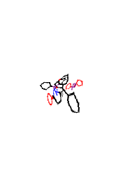 O=POC(C1CCCCC1)(C1CCCCC1)[C@H]1CCC(=O)N1P(C1CCCCC1)C1CCCCC1